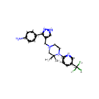 CC1(C)CN(Cc2c[nH]nc2-c2ccc(N)cc2)CCN1c1ccc(C(F)(F)F)cn1